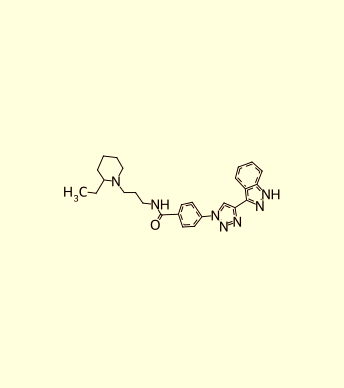 CCC1CCCCN1CCCNC(=O)c1ccc(-n2cc(-c3n[nH]c4ccccc34)nn2)cc1